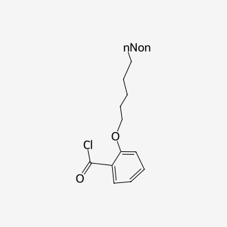 CCCCCCCCCCCCCCOc1ccccc1C(=O)Cl